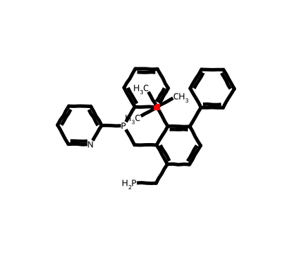 CC(C)(C)c1c(-c2ccccc2)ccc(CP)c1CP(c1ccccn1)c1ccccn1